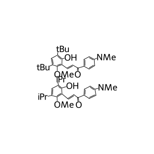 CNc1ccc(C(=O)C=Cc2c(O)c(C(C)(C)C)cc(C(C)(C)C)c2OC)cc1.CNc1ccc(C(=O)C=Cc2c(O)c(C(C)C)cc(C(C)C)c2OC)cc1